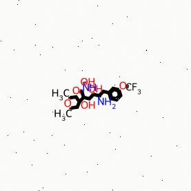 CC1CC(O)(C(CC(O)C(N)Cc2cccc(OC(F)(F)F)c2)C(=O)NO)CC(C)O1